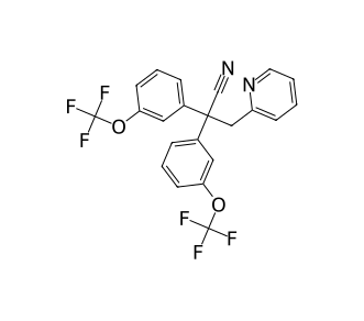 N#CC(Cc1ccccn1)(c1cccc(OC(F)(F)F)c1)c1cccc(OC(F)(F)F)c1